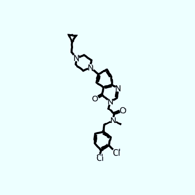 CN(Cc1ccc(Cl)c(Cl)c1)C(=O)Cn1cnc2ccc(N3CCN(CC4CC4)CC3)cc2c1=O